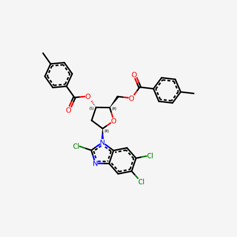 Cc1ccc(C(=O)OC[C@H]2O[C@@H](n3c(Cl)nc4cc(Cl)c(Cl)cc43)C[C@@H]2OC(=O)c2ccc(C)cc2)cc1